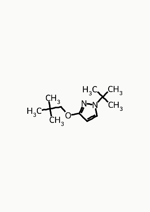 CC(C)(C)COc1ccn(C(C)(C)C)n1